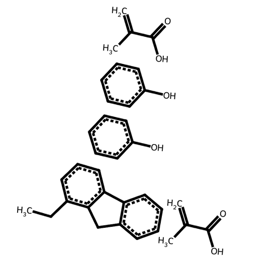 C=C(C)C(=O)O.C=C(C)C(=O)O.CCc1cccc2c1Cc1ccccc1-2.Oc1ccccc1.Oc1ccccc1